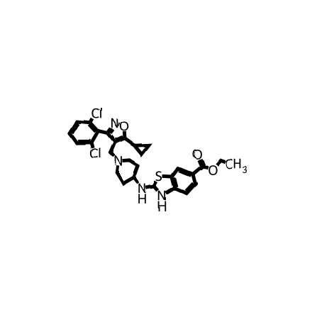 CCOC(=O)c1ccc2c(c1)SC(NC1CCN(Cc3c(-c4c(Cl)cccc4Cl)noc3C3CC3)CC1)N2